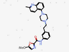 COc1cnc(C(=O)Nc2cccc(CCN3CCN(c4cccc5nc(C)ccc45)CC3)c2)o1